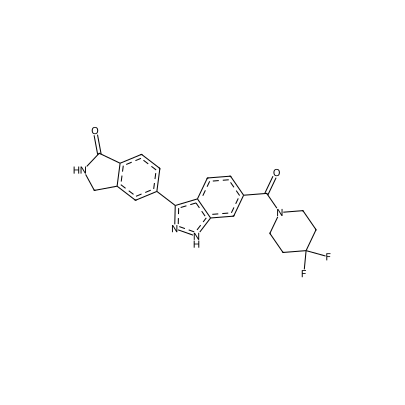 O=C1NCc2cc(-c3n[nH]c4cc(C(=O)N5CCC(F)(F)CC5)ccc34)ccc21